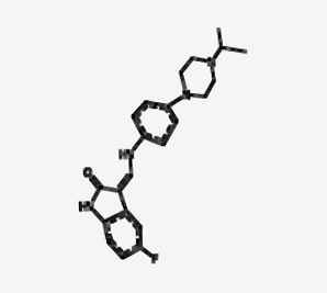 CC(C)N1CCN(c2ccc(NC=C3C(=O)Nc4ccc(F)cc43)cc2)CC1